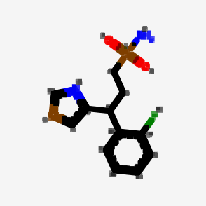 NS(=O)(=O)CCC(c1cscn1)c1ccccc1F